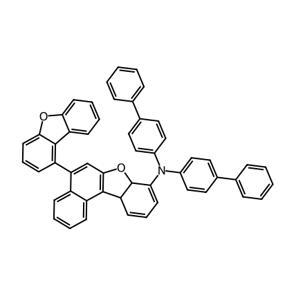 C1=CC2c3c(cc(-c4cccc5oc6ccccc6c45)c4ccccc34)OC2C(N(c2ccc(-c3ccccc3)cc2)c2ccc(-c3ccccc3)cc2)=C1